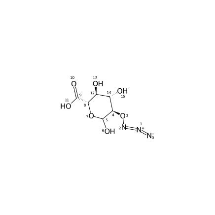 [N-]=[N+]=NO[C@H]1C(O)O[C@H](C(=O)O)[C@@H](O)[C@@H]1O